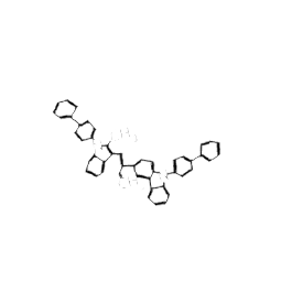 C=C/C(=C\c1c(C)n(-c2ccc(-c3ccccc3)cc2)c2ccccc12)c1ccc2c(c1)c1ccccc1n2-c1ccc(-c2ccccc2)cc1